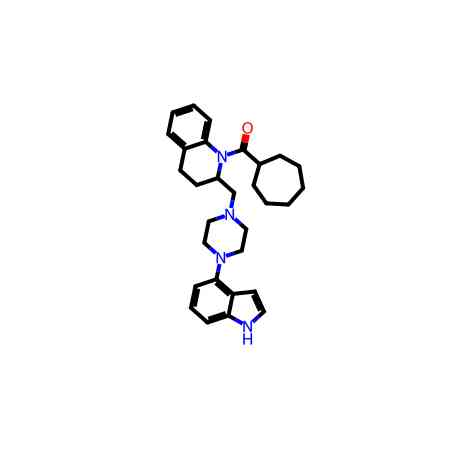 O=C(C1CCCCCC1)N1c2ccccc2CCC1CN1CCN(c2cccc3[nH]ccc23)CC1